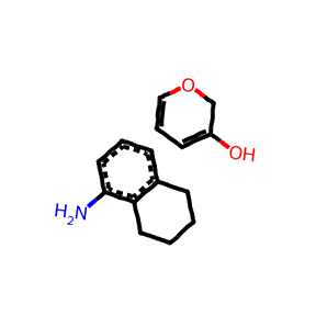 Nc1cccc2c1CCCC2.OC1=CC=COC1